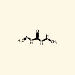 C=NNC(=O)NNC